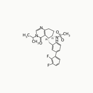 CC(C)n1cnc2c(c1=O)[C@@H](Cc1cccc(-c3cccc(F)c3F)c1)[C@@H](NS(C)(=O)=O)CC2